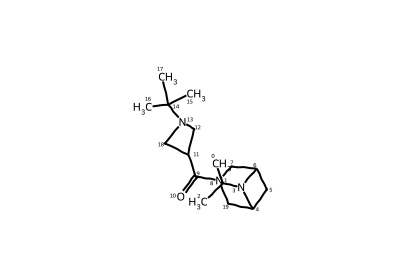 CC(C)N1C2CC1CN(C(=O)C1CN(C(C)(C)C)C1)C2